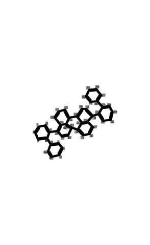 c1ccc(-c2ccccc2-c2ccc3c4cccc5c(-c6ccccc6-c6ccccc6)ccc(c6cccc2c63)c54)cc1